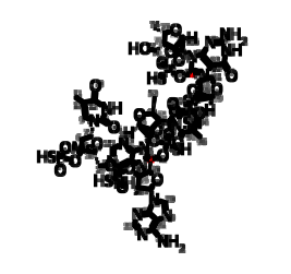 COP(=O)(S)OC1C[C@H](n2cc(C)c(=O)[nH]c2=O)O[C@@H]1COP(=O)(S)OC1C[C@H](n2cnc3c(N)ncnc32)O[C@@H]1COP(=O)(S)OC1[C@@H]2O[C@@H](C)[C@]1(COP(=O)(S)OC1[C@@H]3O[C@@H](C)[C@]1(COP(=O)(S)OC1[C@@H]4O[C@@H](C)[C@]1(CO)O[C@H]4n1cnc4c(=O)[nH]c(N)nc41)O[C@H]3n1cc(C)c(=O)[nH]c1=O)O[C@H]2n1cnc2c(N)ncnc21